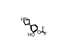 Oc1cc([C@@H]2CCNC2)ccc1OC(F)F